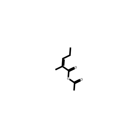 CCC=C(C)C(=O)OC(C)=O